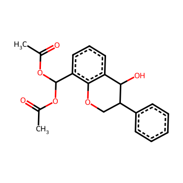 CC(=O)OC(OC(C)=O)c1cccc2c1OCC(c1ccccc1)C2O